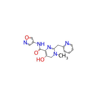 CN1CC(O)=C(C(=O)Nc2cnoc2)N=C1Cc1ccccn1